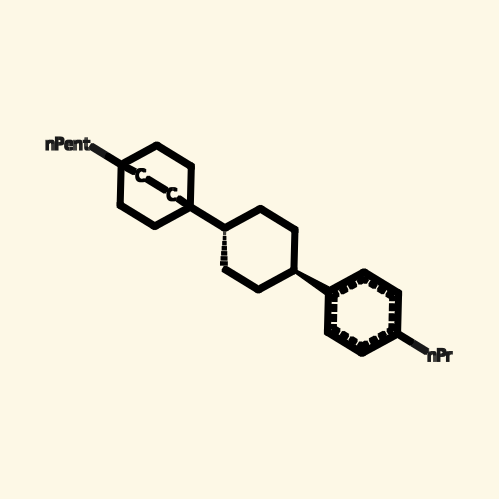 CCCCCC12CCC([C@H]3CC[C@H](c4ccc(CCC)cc4)CC3)(CC1)CC2